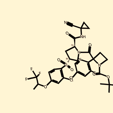 CC(Oc1ccc(S(=O)(=O)[C@@H]2C[C@@H](C(=O)NC3(C#N)CC3)N(C(=O)C3(c4ncc(Cl)cc4F)CCN3C(=O)OC(C)(C)C)C2)c(Cl)c1)C(F)(F)F